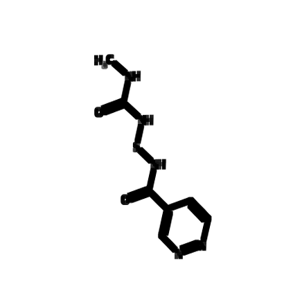 CNC(=O)NSNC(=O)c1ccnnc1